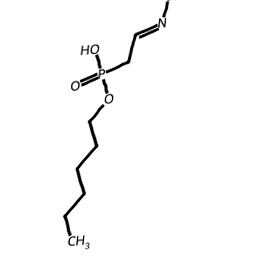 CCCCCCOP(=O)(O)CC=NO